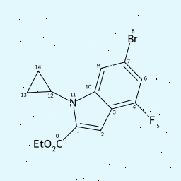 CCOC(=O)c1cc2c(F)cc(Br)cc2n1C1CC1